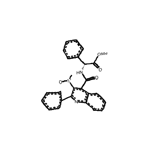 COC(=O)[C@H](NC(=O)c1c([S+](C)[O-])c(-c2ccccc2)nc2ccccc12)c1ccccc1